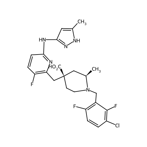 Cc1cc(Nc2ccc(F)c(C[C@@]3(C(=O)O)CCN(Cc4c(F)ccc(Cl)c4F)[C@H](C)C3)n2)n[nH]1